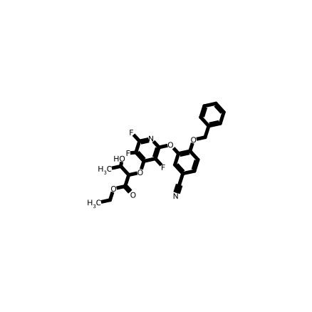 CCOC(=O)C(Oc1c(F)c(F)nc(Oc2cc(C#N)ccc2OCc2ccccc2)c1F)C(C)O